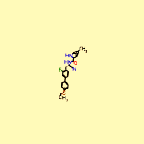 CCSc1ccc(-c2ccc(C[C@@H](C#N)NC(=O)C3NC4CC3C3C4[C@H]3C)c(F)c2)cc1